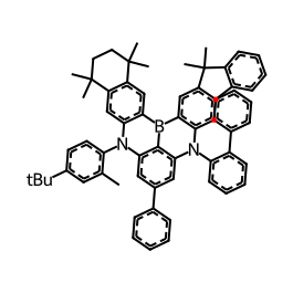 Cc1cc(C(C)(C)C)ccc1N1c2cc3c(cc2B2c4cc5c(cc4N(c4ccccc4-c4ccccc4)c4cc(-c6ccccc6)cc1c42)-c1ccccc1C5(C)C)C(C)(C)CCC3(C)C